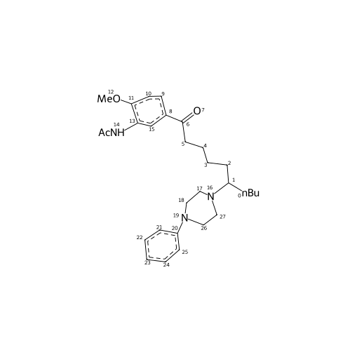 CCCCC(CCCCC(=O)c1ccc(OC)c(NC(C)=O)c1)N1CCN(c2ccccc2)CC1